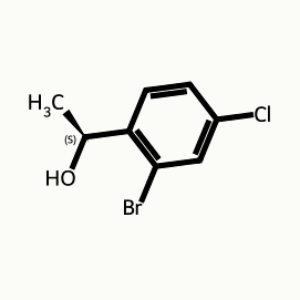 C[C@H](O)c1ccc(Cl)cc1Br